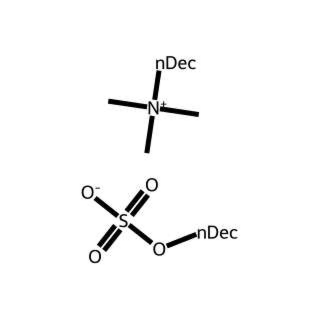 CCCCCCCCCCOS(=O)(=O)[O-].CCCCCCCCCC[N+](C)(C)C